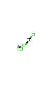 Cl.[Cl][Cu][Cl].[Sn]